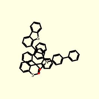 c1ccc(-c2ccc(N(c3ccc(-c4cccc5c4sc4ccccc45)cc3)c3cccc4c3C3(c5ccccc5S4)c4ccccc4-c4ccccc4-c4ccccc43)cc2)cc1